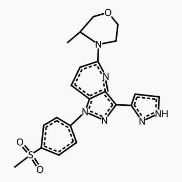 CC1COCCN1c1ccc2c(n1)c(-c1cc[nH]n1)nn2-c1ccc(S(C)(=O)=O)cc1